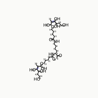 CC(=O)C(CCCCNC(=O)CCCCOC(O)/C(C)=C(/O)C(O)CCO)NC(=O)CCCCOC(O)/C(C)=C(/O)C(O)CCO